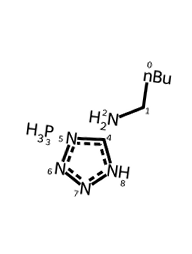 CCCCCN.P.c1nnn[nH]1